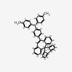 Cc1ccc(N(c2ccc(C)cc2)c2ccc(C3=Cc4ccccc4C4(c5ccccc53)c3ccccc3-c3ccccc34)cc2)cc1